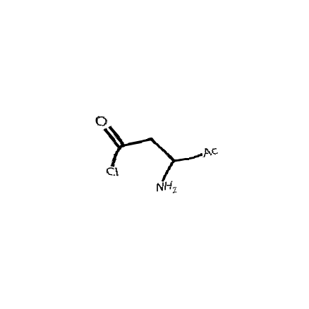 CC(=O)C(N)CC(=O)Cl